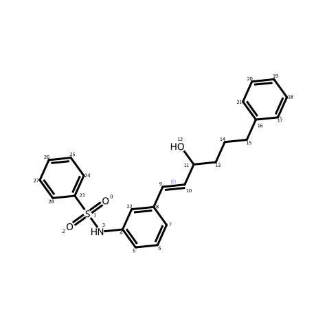 O=S(=O)(Nc1cccc(/C=C/C(O)CCCc2[c]cccc2)c1)c1ccccc1